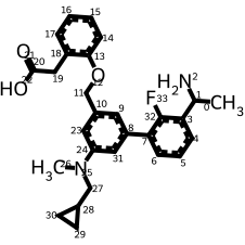 CC(N)c1cccc(-c2cc(COc3ccccc3CC(=O)O)cc(N(C)CC3CC3)c2)c1F